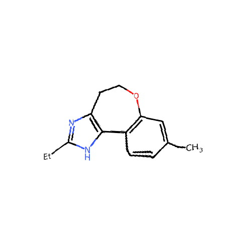 CCc1nc2c([nH]1)-c1ccc(C)cc1OCC2